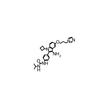 CC(C)NC(=O)Nc1ccc(-c2c(N)c3cc(OCCCn4ccnc4)ccc3n2C2CCC2)cc1